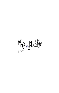 CS(=O)(=O)Nc1ccc(CNC(=O)/C=C/c2ccc(C(F)(F)F)nc2N2CCC(O)C2)cc1F